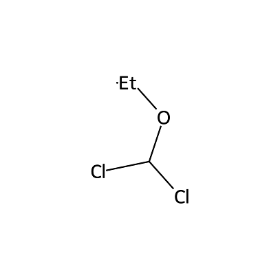 C[CH]OC(Cl)Cl